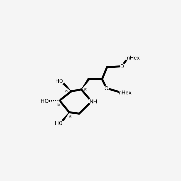 CCCCCCOCC(C[C@H]1NC[C@@H](O)[C@H](O)[C@H]1O)OCCCCCC